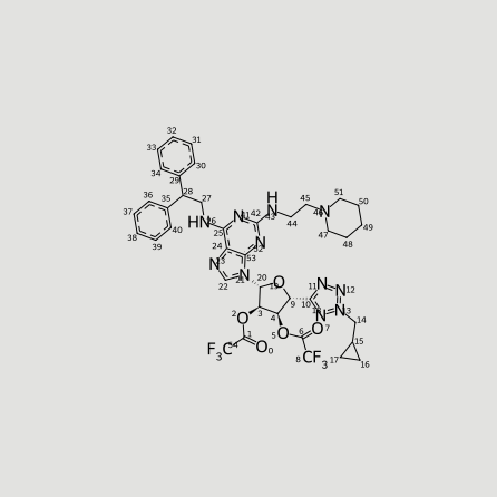 O=C(O[C@@H]1[C@H](OC(=O)C(F)(F)F)[C@@H](c2nnn(CC3CC3)n2)O[C@H]1n1cnc2c(NCC(c3ccccc3)c3ccccc3)nc(NCCN3CCCCC3)nc21)C(F)(F)F